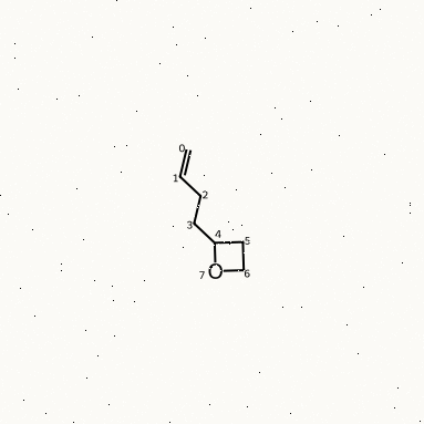 C=CCCC1CCO1